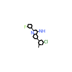 CNc1cc(-c2cccc(F)c2)nc2ccc(-c3cc(C)cc(Cl)c3)cc12